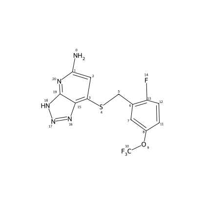 Nc1cc(SCc2cc(OC(F)(F)F)ccc2F)c2nn[nH]c2n1